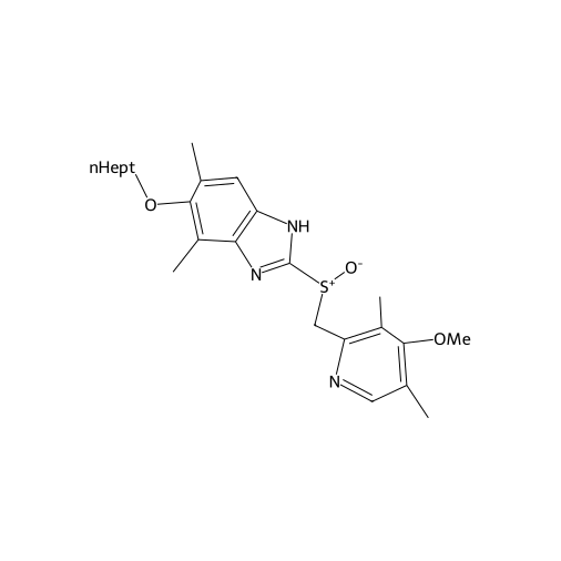 CCCCCCCOc1c(C)cc2[nH]c([S+]([O-])Cc3ncc(C)c(OC)c3C)nc2c1C